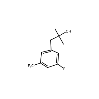 CC(C)(O)Cc1cc(F)cc(C(F)(F)F)c1